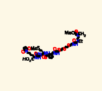 CCN(CCN(C)CC(=O)OC)CC(=O)NCCOCCOCCOCC(=O)NCc1cccc(C(=O)N[C@@H](CCSC)C(=O)NCC(=O)N[C@@H](CCCCN2C(=O)C=CC2=O)C(=O)O)c1